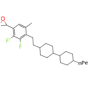 CCCCCC1CCC(C2CCC(CCc3c(C)cc(C4CO4)c(F)c3F)CC2)CC1